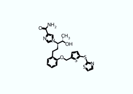 C[C@H](O)[C@@H](CCc1ccccc1OCc1ccc(Sc2nccs2)s1)n1cnc(C(N)=O)c1